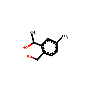 Cc1ccc(CO)c(C(C)O)c1